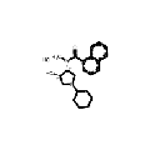 CN(C(=O)c1cccc2ccccc12)[C@@H]1CN(C2CCCCC2)C[C@H]1O.Cl